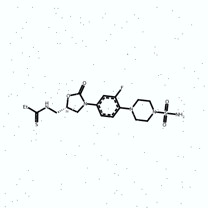 CCC(=S)NC[C@H]1CN(c2ccc(N3CCN(S(N)(=O)=O)CC3)c(F)c2)C(=O)O1